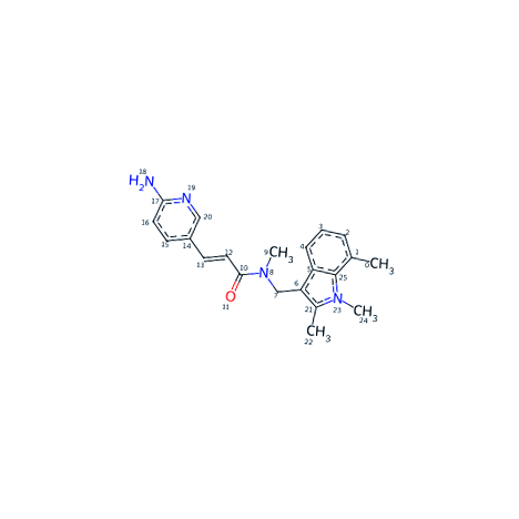 Cc1cccc2c(CN(C)C(=O)/C=C/c3ccc(N)nc3)c(C)n(C)c12